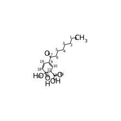 CCCCCCCC(=O)C1=CC(C(=O)O)C(O)(O)C=C1